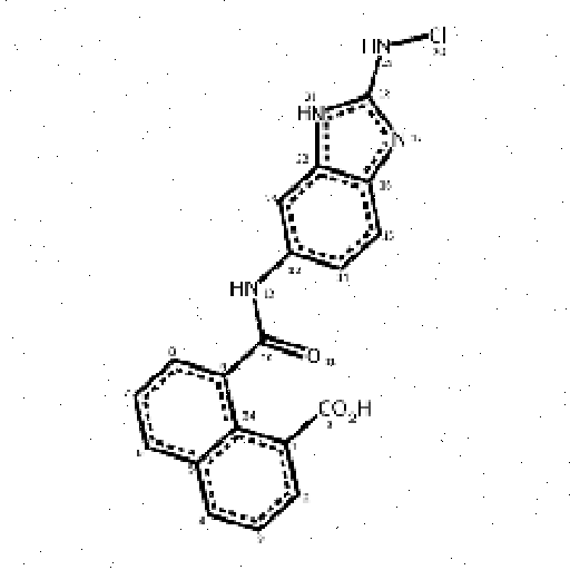 O=C(O)c1cccc2cccc(C(=O)Nc3ccc4nc(NCl)[nH]c4c3)c12